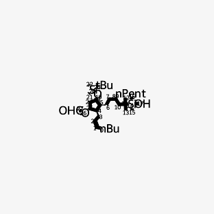 CCCC/C=C\C[C@@H]1[C@@H](CC[C@H](CCCCC)CC(C)(C)[Si](C)(C)O)[C@H](O[Si](C)(C)C(C)(C)C)C[C@@H]1OC=O